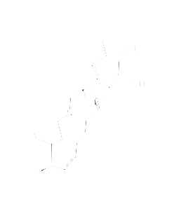 C=CCCC/C=C\[C@@H](C)C(CC)CCNCC(C)(C)/C(=C/CC)C[C@@H](C)CC